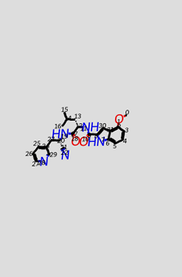 COc1cccc2[nH]c(C(=O)N[C@@H](CC(C)C)C(=O)N[C@H](C#N)Cc3cccnc3)cc12